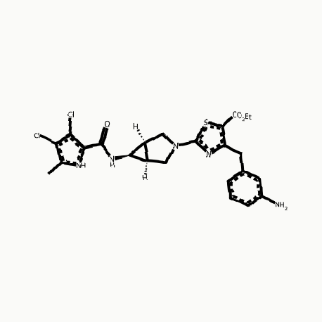 CCOC(=O)c1sc(N2C[C@@H]3[C@H](C2)[C@@H]3NC(=O)c2[nH]c(C)c(Cl)c2Cl)nc1Cc1cccc(N)c1